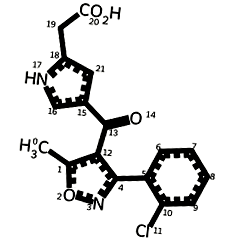 Cc1onc(-c2ccccc2Cl)c1C(=O)c1c[nH]c(CC(=O)O)c1